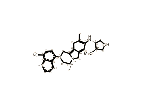 CO[C@@H]1CNC[C@H]1NC1=C(C)CC2=C3CN(c4ccc(C#N)c5ncccc45)C[C@@H](C)N3CC2=C1